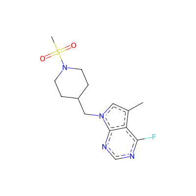 Cc1cn(CC2CCN(S(C)(=O)=O)CC2)c2ncnc(F)c12